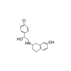 Oc1ccc2c(c1)CC(NCC(O)c1ccc(Cl)cc1)CC2